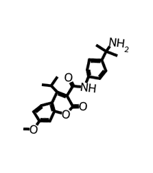 COc1ccc2c(C(C)C)c(C(=O)Nc3ccc(C(C)(C)N)cc3)c(=O)oc2c1